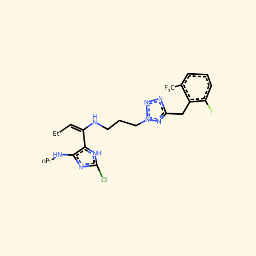 CC/C=C(/NCCCn1nnc(Cc2c(F)cccc2C(F)(F)F)n1)c1[nH]c(Cl)nc1NCCC